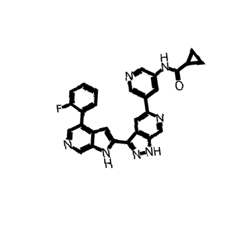 O=C(Nc1cncc(-c2cc3c(-c4cc5c(-c6ccccc6F)cncc5[nH]4)n[nH]c3cn2)c1)C1CC1